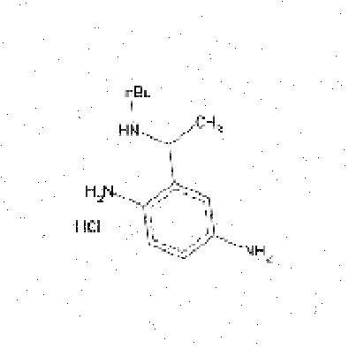 CCCCNC(C)c1cc(N)ccc1N.Cl